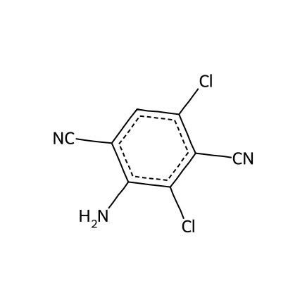 N#Cc1cc(Cl)c(C#N)c(Cl)c1N